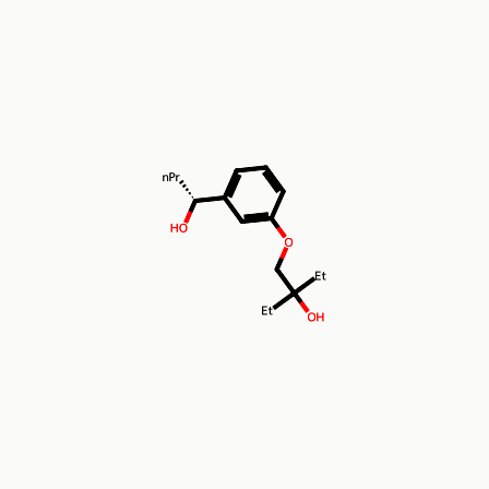 CCC[C@@H](O)c1cccc(OCC(O)(CC)CC)c1